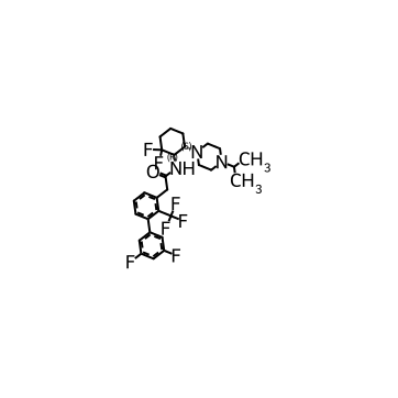 CC(C)N1CCN([C@H]2CCCC(F)(F)[C@@H]2NC(=O)Cc2cccc(-c3cc(F)cc(F)c3)c2C(F)(F)F)CC1